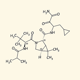 CC(C)C(=O)N[C@H](C(=O)N1C[C@H]2C([C@H]1C(=O)NC(CC1CC1)C(=O)C(N)=O)C2(C)C)C(C)(C)C